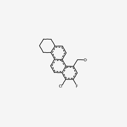 [O]Cc1cc(F)c(Cl)c2ccc3c4c(ccc3c12)CCCC4